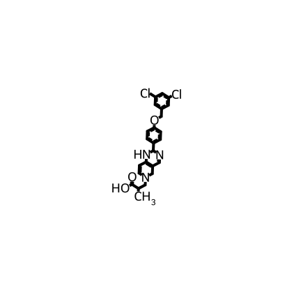 CC(CN1C=CC2=C(C=NC(c3ccc(OCc4cc(Cl)cc(Cl)c4)cc3)N2)C1)C(=O)O